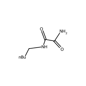 [CH2]CCCCNC(=O)C(N)=O